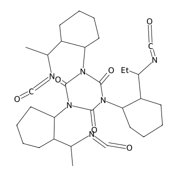 CCC(N=C=O)C1CCCCC1n1c(=O)n(C2CCCCC2C(C)N=C=O)c(=O)n(C2CCCCC2C(C)N=C=O)c1=O